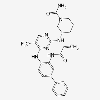 C=CC(=O)Nc1cc(-c2ccccc2)ccc1Nc1nc(N[C@H]2CCCN(C(N)=O)C2)ncc1C(F)(F)F